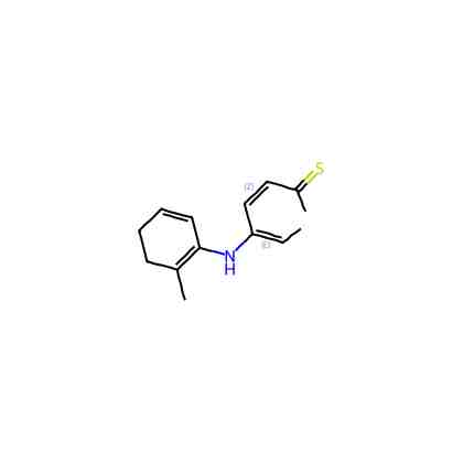 C/C=C(\C=C/C(C)=S)NC1=C(C)CCC=C1